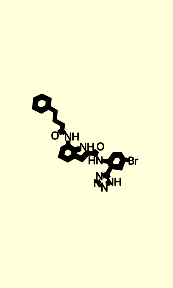 O=C(CCCc1ccccc1)Nc1cccc2cc(C(=O)Nc3ccc(Br)cc3-c3nnn[nH]3)[nH]c12